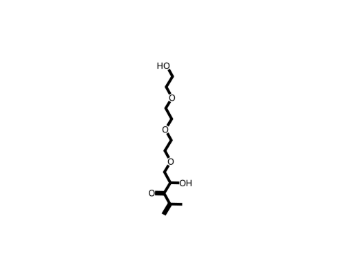 C=C(C)C(=O)C(O)COCCOCCOCCO